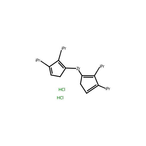 CC(C)C1=CC[C]([Zr][C]2=C(C(C)C)C(C(C)C)=CC2)=C1C(C)C.Cl.Cl